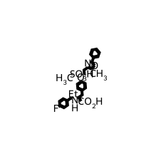 CCC(Cc1ccc(OCCc2nc(-c3ccccc3)oc2C)cc1)(NCc1ccc(F)cc1)C(=O)O.CS(=O)(=O)O